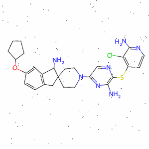 Nc1nc(N2CCC3(CC2)Cc2ccc(OC4CCCC4)cc2C3N)cnc1Sc1ccnc(N)c1Cl